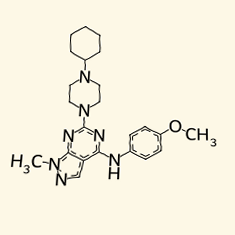 COc1ccc(Nc2nc(N3CCN(C4CCCCC4)CC3)nc3c2cnn3C)cc1